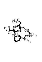 [CH2]C(=O)NC[C@H](C)c1cccc(Nc2nc(CC)c(CC)nc2C(N)=O)c1